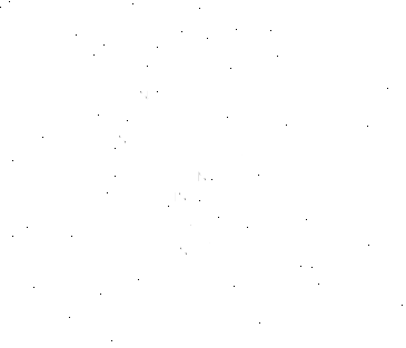 c1ccc2c(c1)cc(-c1cncnc1)n2NC1CN1